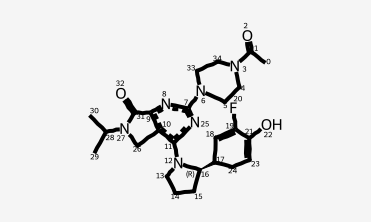 CC(=O)N1CCN(c2nc3c(c(N4CCC[C@@H]4C4C=C(F)C(O)=CC4)n2)CN(C(C)C)C3=O)CC1